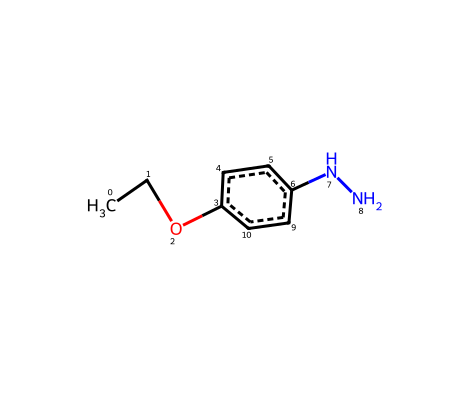 CCOc1ccc(NN)cc1